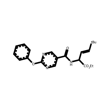 CCOC(=O)C(/C=C/C(C)(C)C)NC(=O)c1cnc(Oc2ccccc2)nc1